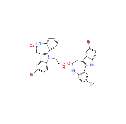 O=C1Cc2c([nH]c3ccc(Br)cc23)-c2cc(Br)ccc2N1.O=C1Cc2c(n(CCO)c3ccc(Br)cc23)-c2ccccc2N1